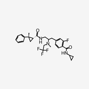 CN(CC(F)(F)F)C(CNC(=O)[C@@H]1C[C@]1(C)c1ccccc1)Cc1ccc(C(=O)NC2CC2)c(F)c1